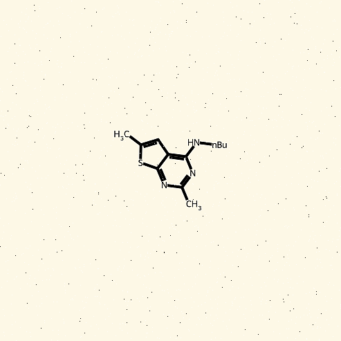 CCCCNc1nc(C)nc2sc(C)cc12